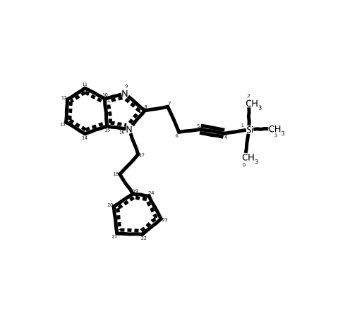 C[Si](C)(C)C#CCCc1nc2ccccc2n1CCc1ccccc1